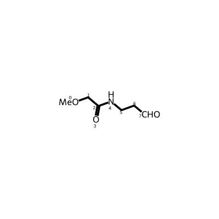 COCC(=O)NCCC=O